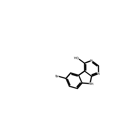 Oc1ncnc2[nH]c3ccc(Br)cc3c12